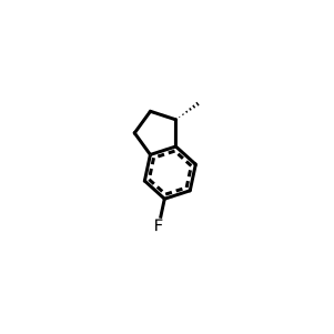 C[C@H]1CCc2cc(F)ccc21